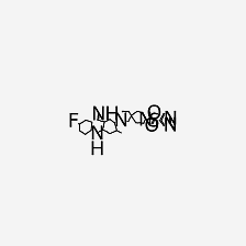 CC1CC(NC2CCC(F)CC2)C(C=N)CC1N1CCC2(CCN(S(=O)(=O)c3cnn(C)c3)CC2)C1